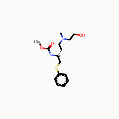 CN(CCO)CC[C@H](CSc1ccccc1)NC(=O)OC(C)(C)C